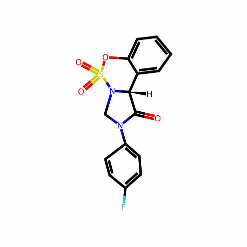 O=C1[C@H]2c3ccccc3OS(=O)(=O)N2CN1c1ccc(F)cc1